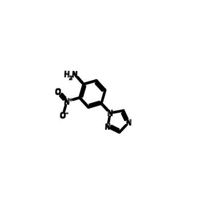 Nc1ccc(-n2cncn2)cc1[N+](=O)[O-]